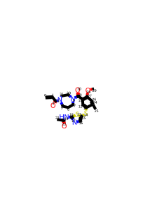 C=CC(=O)N1CCCN(C(=O)c2cc(Sc3cnc(NC(C)=O)s3)c(C)cc2OC)CC1